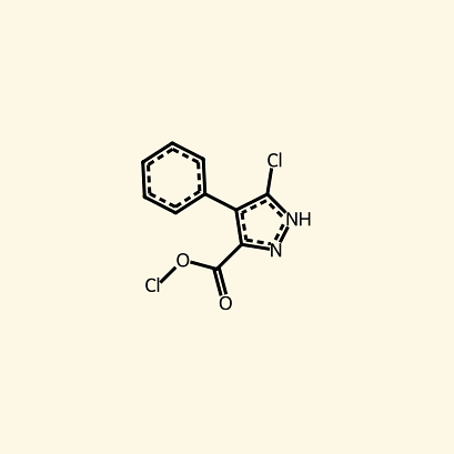 O=C(OCl)c1n[nH]c(Cl)c1-c1ccccc1